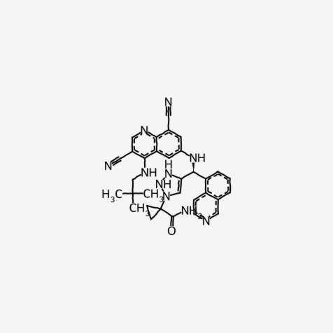 CC(C)(C)CNc1c(C#N)cnc2c(C#N)cc(N[C@H](C3=CN(C4(C(N)=O)CC4)NN3)c3cccc4cnccc34)cc12